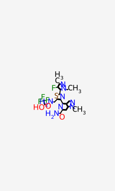 CCn1nc(C)c(F)c1-c1nc(-c2nc(C(N)=O)cc3c2cnn3C)c(CN)s1.O=C(O)C(F)(F)F